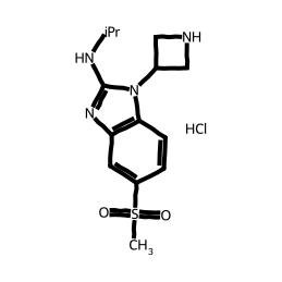 CC(C)Nc1nc2cc(S(C)(=O)=O)ccc2n1C1CNC1.Cl